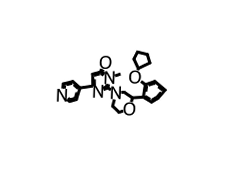 Cn1c(N2CCOC(c3ccccc3OC3CCCC3)C2)nc(-c2ccncc2)cc1=O